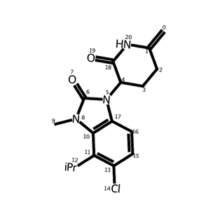 C=C1CCC(n2c(=O)n(C)c3c(C(C)C)c(Cl)ccc32)C(=O)N1